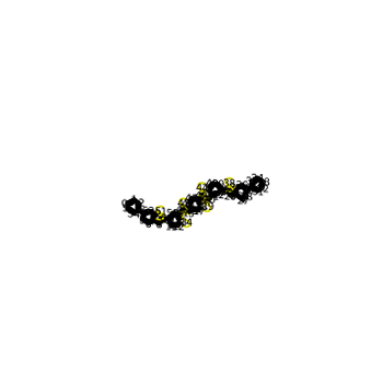 c1ccc(-c2ccc3cc(-c4ccc5sc6c7cc8sc9c%10cc(-c%11cc%12ccc(-c%13ccccc%13)cc%12s%11)ccc%10sc9c8cc7sc6c5c4)sc3c2)cc1